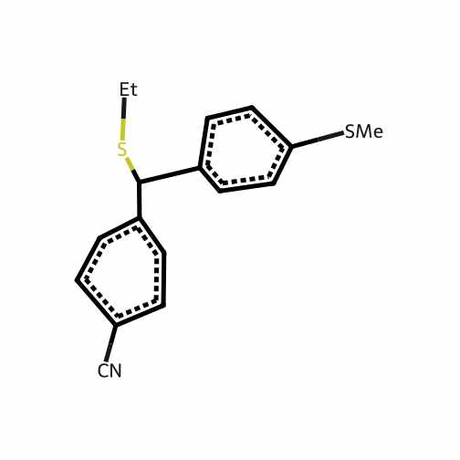 CCSC(c1ccc(C#N)cc1)c1ccc(SC)cc1